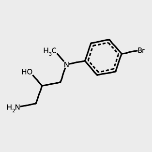 CN(CC(O)CN)c1ccc(Br)cc1